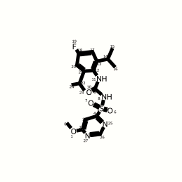 COc1cc(S(=O)(=O)NC(=O)Nc2c(C(C)C)cc(F)cc2C(C)C)ncn1